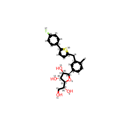 Cc1ccc([C@H]2O[C@@H]([C@H](O)CO)[C@H](O)[C@H]2O)cc1Cc1ccc(-c2ccc(F)cc2)s1